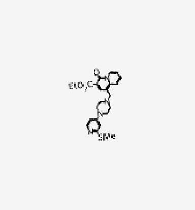 CCOC(=O)c1cc(CN2CCN(c3ccnc(SC)c3)CC2)c2ccccn2c1=O